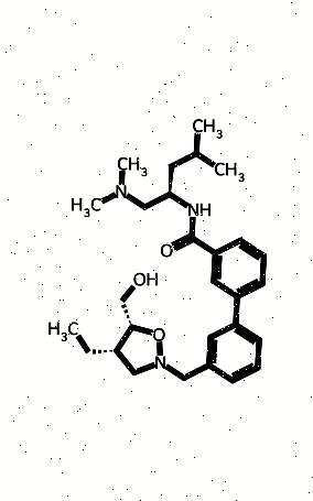 CC[C@H]1CN(Cc2cccc(-c3cccc(C(=O)N[C@H](CC(C)C)CN(C)C)c3)c2)O[C@H]1CO